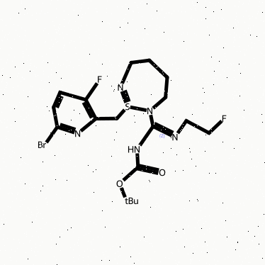 CC(C)(C)OC(=O)N/C(=N/CCF)N1CCCCN=S1Cc1nc(Br)ccc1F